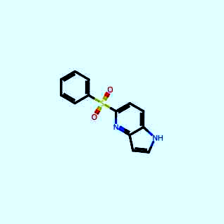 O=S(=O)(c1ccccc1)c1ccc2[nH]ccc2n1